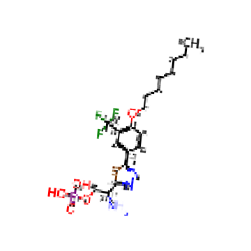 CCCCCCCCOc1ccc(-c2nnc([C@@H](N)COP(=O)(O)O)s2)cc1C(F)(F)F